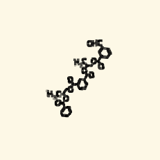 CC(COC(=O)c1cccc(C(=O)OC(C)COC(=O)c2cccc(C=O)c2)c1)OC(=O)c1ccccc1